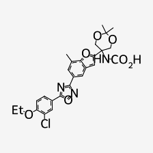 CCOc1ccc(-c2nc(-c3cc(C)c4oc(C5(NC(=O)O)COC(C)(C)OC5)cc4c3)no2)cc1Cl